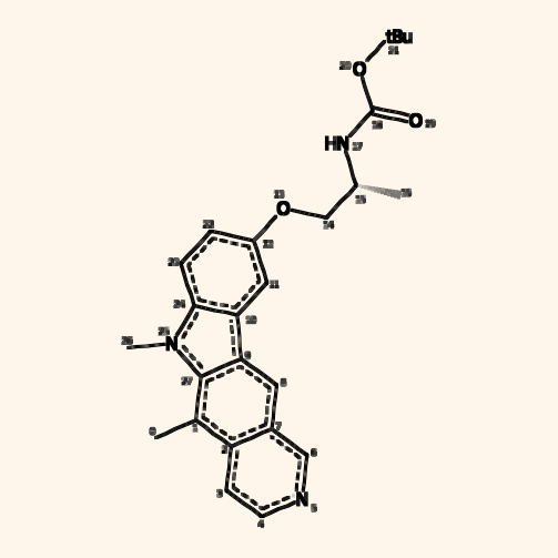 Cc1c2ccncc2cc2c3cc(OC[C@@H](C)NC(=O)OC(C)(C)C)ccc3n(C)c12